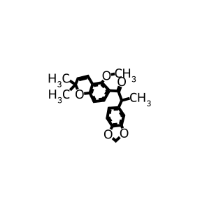 COc1c(C(=O)C(C)c2ccc3c(c2)OCO3)ccc2c1C=CC(C)(C)O2